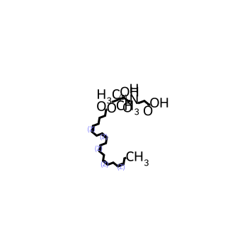 CC/C=C\C/C=C\C/C=C\C/C=C\C/C=C\CCCC(=O)OCC(C)(C)[C@H](O)C(=O)NCCC(=O)O